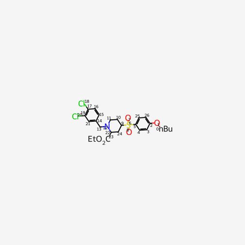 CCCCOc1ccc(S(=O)(=O)C2CCN(Cc3ccc(Cl)c(Cl)c3)C(C(=O)OCC)C2)cc1